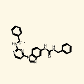 C[C@H](Nc1nccc(-n2cnc3cc(NC(=O)NCc4ccccc4)ccc32)n1)c1ccccc1